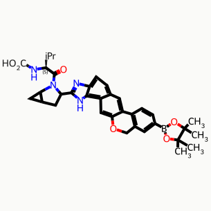 CC(C)[C@H](NC(=O)O)C(=O)N1C(c2nc3ccc4cc5c(cc4c3[nH]2)OCc2cc(B3OC(C)(C)C(C)(C)O3)ccc2-5)CC2CC21